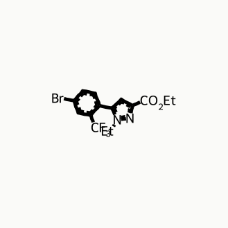 CCOC(=O)c1cc(-c2ccc(Br)cc2C(F)(F)F)n(CC)n1